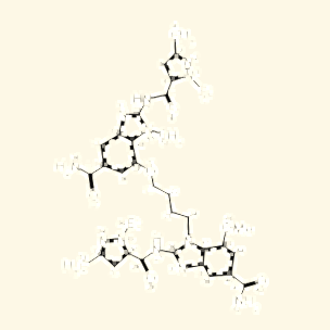 CCn1nc(C)cc1C(=O)Nc1nc2cc(C(N)=O)cc(OCCCCn3c(NC(=O)c4cc(C)nn4CC)nc4cc(C(N)=O)cc(OC)c43)c2n1C